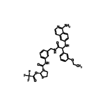 CCOc1cccc(C(Nc2ccc3c(N)nccc3c2)C(=O)NCc2cccc(NC(=O)N3CCSC3OC(=O)C(F)(F)F)c2)c1